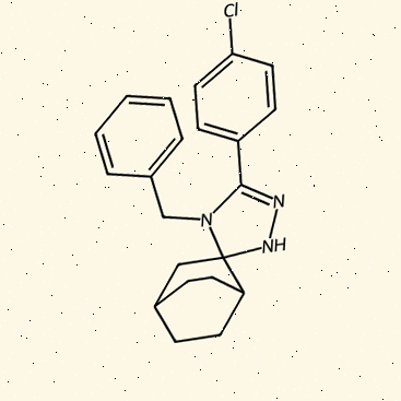 Clc1ccc(C2=NNC3(CC4CCC3CC4)N2Cc2ccccc2)cc1